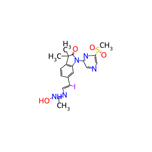 C/C(=N/C=C(\I)c1ccc2c(c1)N(c1cncc(S(C)(=O)=O)n1)C(=O)C2(C)C)NO